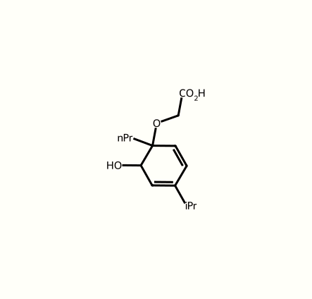 CCCC1(OCC(=O)O)C=CC(C(C)C)=CC1O